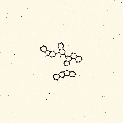 Cc1c(-n2c3ccc(C4c5ccccc5-c5cc6ccccc6cc54)cc3c3c4ccccc4ccc32)nc2ccccc2c1-c1ccc2sc3ccccc3c2c1